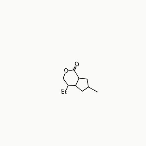 CCC1COC(=O)C2CC(C)CC12